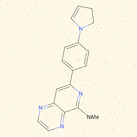 CNc1nc(-c2ccc(N3C=CCC3)cc2)cc2nccnc12